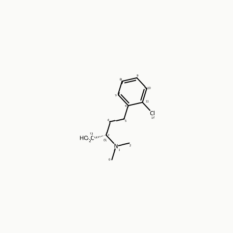 CN(C)[C@@H](CCc1ccccc1Cl)C(=O)O